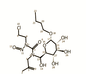 C=C(C)CN(C(=O)N(CCCl)N=O)C(O)[C@H]1O[C@H](OCCCC)[C@H](O)[C@@H](O)[C@@H]1O